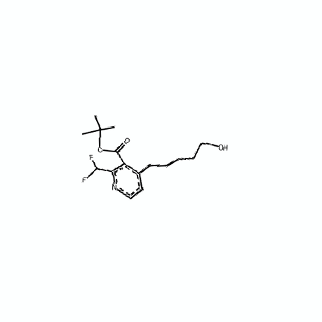 CC(C)(C)OC(=O)c1c(CCCCCO)ccnc1C(F)F